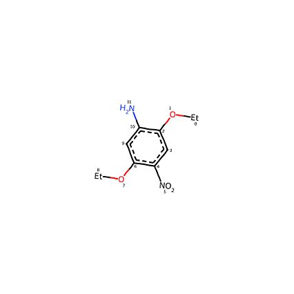 CCOc1cc([N+](=O)[O-])c(OCC)cc1N